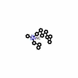 N#Cc1ccc(-c2ccccc2-c2ccc3c4c(cccc24)-c2ccccc2-3)c(-c2ccccc2-c2ccc(-c3nc(-c4ccccc4)nc(-c4cccc(-c5cccc6ccccc56)c4)n3)cc2)c1